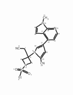 CCS(=O)(=O)N1CC(CC#N)(n2cc(-c3ccnc4c3ccn4C)cc2C#N)C1